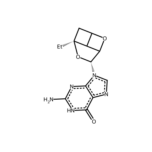 CC[C@]12CC3OC(C31)[C@H](n1cnc3c(=O)[nH]c(N)nc31)O2